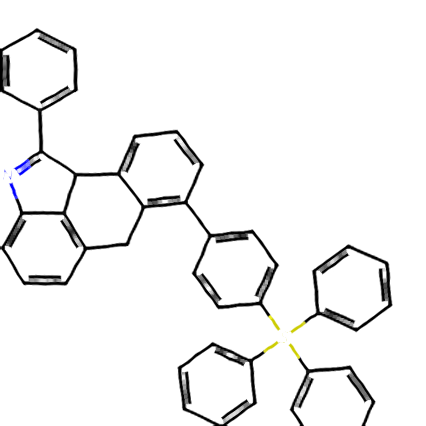 c1ccc(C2=Nc3cccc4c3C2c2cccc(-c3ccc(S(c5ccccc5)(c5ccccc5)c5ccccc5)cc3)c2C4)cc1